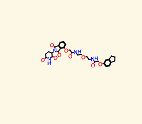 O=C(COc1ccc2c(c1)CCC2)NCCOCCNC(=O)COc1cccc2c1C(=O)N(C1CCC(=O)NC1=O)C2=O